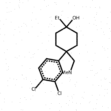 CCC1(O)CCC(CNC)(c2ccc(Cl)c(Cl)c2)CC1